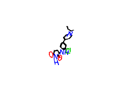 CCC(C)N1CCC(c2ccc(NC3CCC(=O)NC3=O)c(Cl)c2)CC1